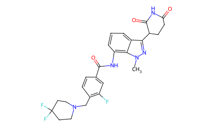 Cn1nc(C2CCC(=O)NC2=O)c2cccc(NC(=O)c3ccc(CN4CCC(F)(F)CC4)c(F)c3)c21